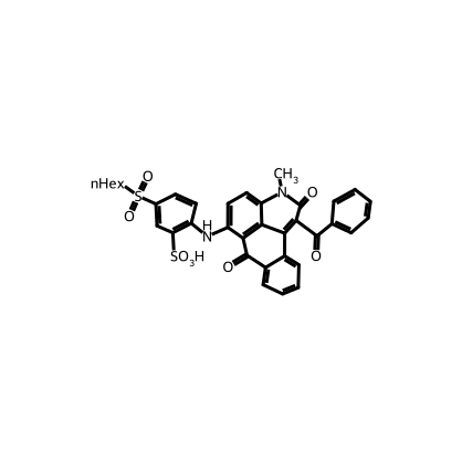 CCCCCCS(=O)(=O)c1ccc(Nc2ccc3c4c2C(=O)c2ccccc2-c4c(C(=O)c2ccccc2)c(=O)n3C)c(S(=O)(=O)O)c1